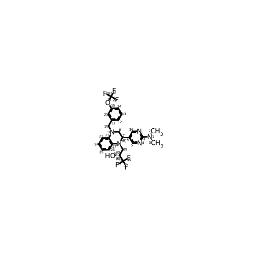 CN(C)c1ncc([C@@H]2CN(Cc3cccc(OC(F)(F)F)c3)c3ccccc3N2C[C@@H](O)C(F)(F)F)cn1